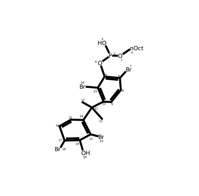 CCCCCCCCOP(O)Oc1c(Br)ccc(C(C)(C)c2ccc(Br)c(O)c2Br)c1Br